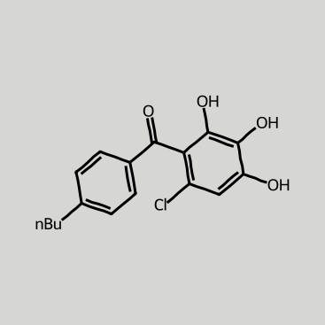 CCCCc1ccc(C(=O)c2c(Cl)cc(O)c(O)c2O)cc1